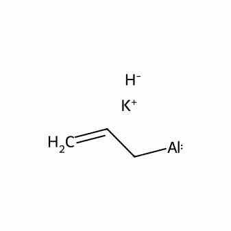 C=C[CH2][Al].[H-].[K+]